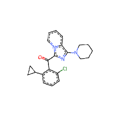 O=C(c1c(Cl)cccc1C1CC1)c1nc(N2CCCCC2)c2ccccn12